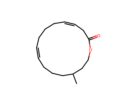 CC1CCCC=CCCCC=CCC(=O)OCC1